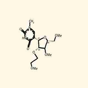 COCCO[C@H]1C(OC)[C@@H](COC)O[C@H]1c1cn(C)c(=O)[nH]c1=O